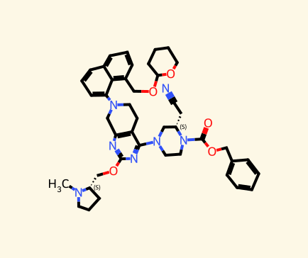 CN1CCC[C@H]1COc1nc2c(c(N3CCN(C(=O)OCc4ccccc4)[C@@H](CC#N)C3)n1)CCN(c1cccc3cccc(COC4CCCCO4)c13)C2